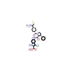 N[C@H](CF)[C@H]1CC[C@H](C(=O)N2CC[C@H](c3ccccc3)[C@H]2C(=O)Nc2ccc3[nH]c(C(=O)O)c(Cl)c3c2)CC1